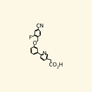 N#Cc1ccc(COc2cccc(-c3ccc(CC(=O)O)cn3)c2)c(F)c1